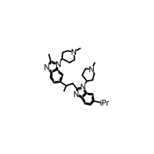 Cc1nc2ccc(C(C)Cc3nc4ccc(C(C)C)cc4n3C3CCN(C)CC3)cc2n1C1CCN(C)CC1